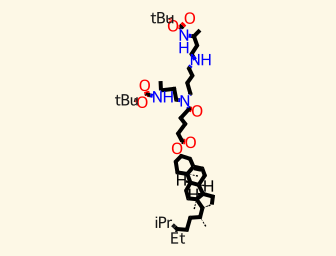 CC[C@H](CC[C@@H](C)[C@H]1CC[C@H]2[C@@H]3CC=C4C[C@@H](OC(=O)CCCC(=O)N(CCCCNCCC(C)NC(=O)OC(C)(C)C)CCC(C)NC(=O)OC(C)(C)C)CC[C@]4(C)[C@H]3CC[C@]12C)C(C)C